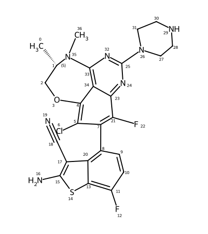 C[C@H]1COc2c(Cl)c(-c3ccc(F)c4sc(N)c(C#N)c34)c(F)c3nc(N4CCNCC4)nc(c23)N1C